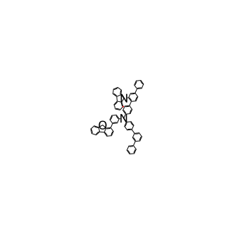 c1ccc(-c2cccc(-c3ccc(N(c4ccc(-c5ccc(-c6ccccc6)cc5-n5c6ccccc6c6ccccc65)cc4)c4cccc(-c5cccc6c5oc5ccccc56)c4)cc3)c2)cc1